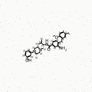 COc1ccc(C)cc1Cc1ccc(C(=O)N[C@H](CN2CCN(c3cccc(O)c3)[C@@H](C)C2)C(C)C)cc1N